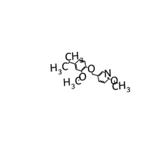 COc1ccc(COc2ccc(C(C)C)cc2OC)cn1